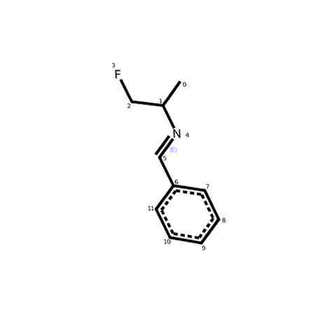 CC(CF)/N=C/c1ccccc1